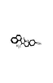 CC(c1cccc2ccccc12)N1CCC2(CCC(O)CC2)OC1=O